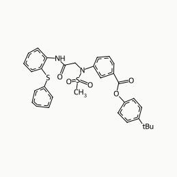 CC(C)(C)c1ccc(OC(=O)c2cccc(N(CC(=O)Nc3ccccc3Sc3ccccc3)S(C)(=O)=O)c2)cc1